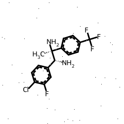 C[C@](N)(c1ccc(C(F)(F)F)cc1)[C@H](N)c1ccc(Cl)c(F)c1